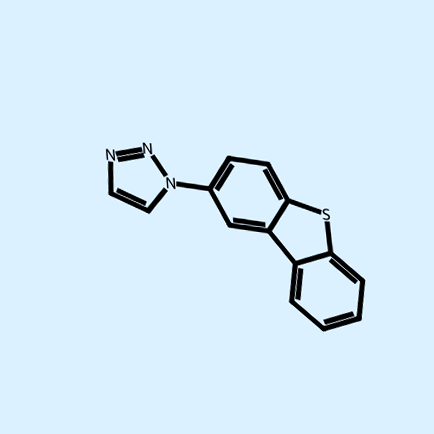 c1ccc2c(c1)sc1ccc(-n3ccnn3)cc12